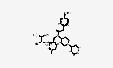 CC(C)COc1ccc(CC(=O)N(Cc2ccc(F)cc2)C2CCN(C3CCOCC3)CC2)cc1.O=C(O)C(O)C(O)C(=O)O